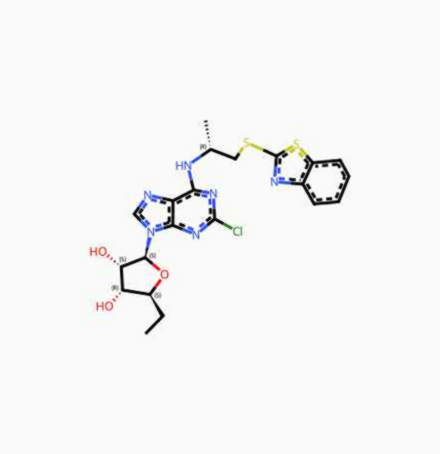 CC[C@@H]1O[C@H](n2cnc3c(N[C@H](C)CSc4nc5ccccc5s4)nc(Cl)nc32)[C@@H](O)[C@H]1O